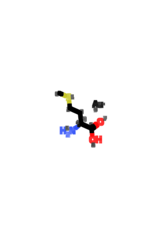 CSCC[C@H](N)C(=O)O.[Au]